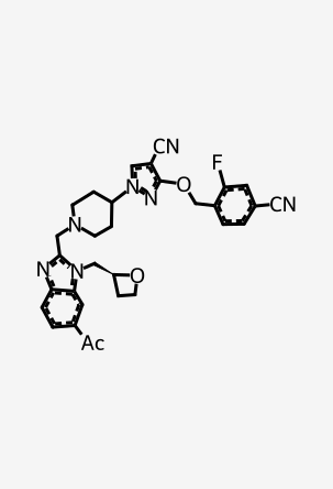 CC(=O)c1ccc2nc(CN3CCC(n4cc(C#N)c(OCc5ccc(C#N)cc5F)n4)CC3)n(C[C@@H]3CCO3)c2c1